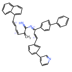 C=C(/C=C\C=C\c1cccc2ccccc12)C(=N)/N=C(\C=C\c1cccc(-c2cccnc2)c1)c1ccc(-c2ccccc2)cc1